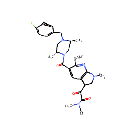 CCN(C)C(=O)C(=O)C1CN(C)c2nc(OC)c(C(=O)N3C[C@H](C)N(Cc4ccc(F)cc4)C[C@H]3C)cc21